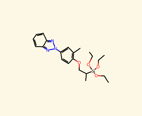 CCO[Si](OCC)(OCC)C(C)COc1ccc(-n2nc3ccccc3n2)cc1C